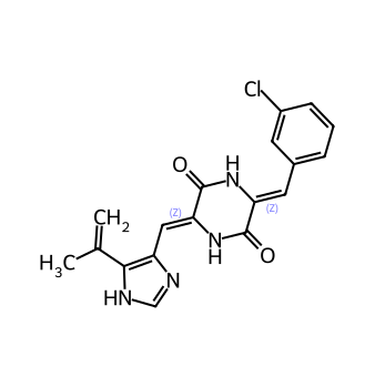 C=C(C)c1[nH]cnc1/C=c1\[nH]c(=O)/c(=C/c2cccc(Cl)c2)[nH]c1=O